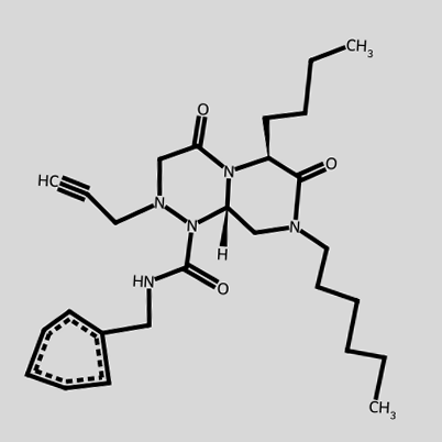 C#CCN1CC(=O)N2[C@@H](CCCC)C(=O)N(CCCCCC)C[C@@H]2N1C(=O)NCc1ccccc1